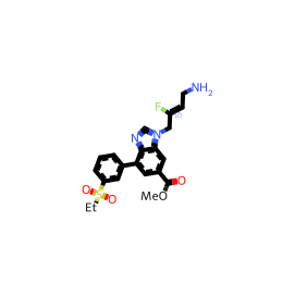 CCS(=O)(=O)c1cccc(-c2cc(C(=O)OC)cc3c2ncn3C/C(F)=C/CN)c1